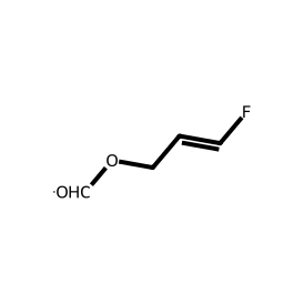 O=[C]OC/C=C/F